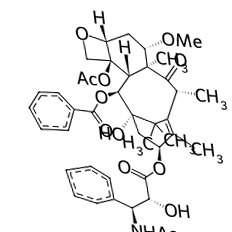 CO[C@H]1C[C@H]2OC[C@@]2(OC(C)=O)[C@H]2[C@H](OC(=O)c3ccccc3)[C@]3(O)C[C@H](OC(=O)[C@H](O)[C@@H](NC(C)=O)c4ccccc4)C(C)=C([C@@H](C)C(=O)[C@]12C)C3(C)C